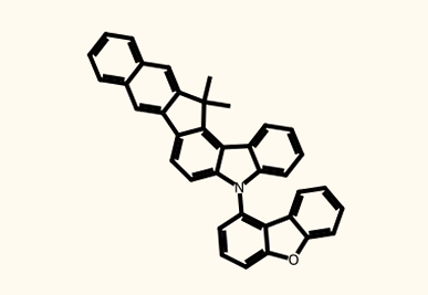 CC1(C)c2cc3ccccc3cc2-c2ccc3c(c21)c1ccccc1n3-c1cccc2oc3ccccc3c12